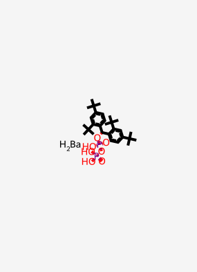 CC(C)(C)c1ccc(C(OP(=O)(O)OP(=O)(O)O)c2ccc(C(C)(C)C)cc2C(C)(C)C)c(C(C)(C)C)c1.[BaH2]